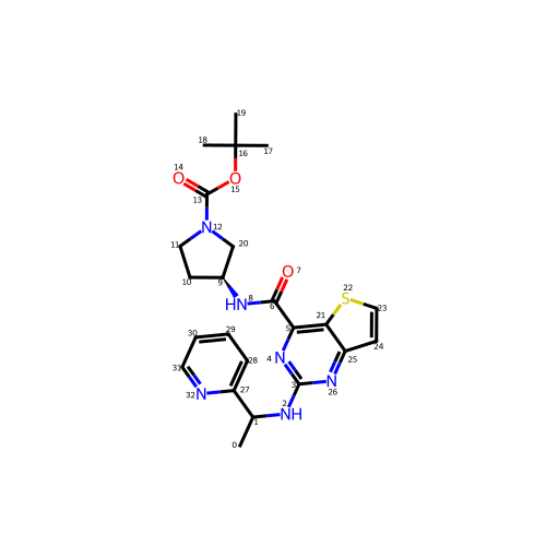 CC(Nc1nc(C(=O)N[C@H]2CCN(C(=O)OC(C)(C)C)C2)c2sccc2n1)c1ccccn1